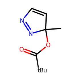 CC1(OC(=O)C(C)(C)C)C=CN=N1